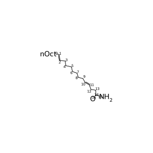 CCCCCCCCC=CCCCCCCCC=CCCC(N)=O